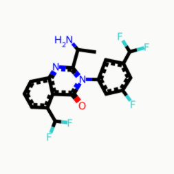 CC(N)c1nc2cccc(C(F)F)c2c(=O)n1-c1cc(F)cc(C(F)F)c1